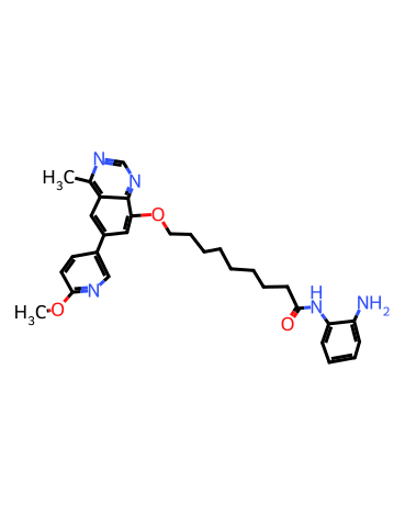 COc1ccc(-c2cc(OCCCCCCCCC(=O)Nc3ccccc3N)c3ncnc(C)c3c2)cn1